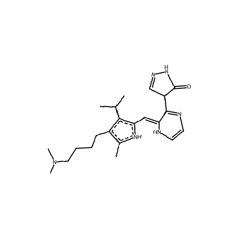 Cc1[nH]c(C=C2NC=CN=C2C2C=NNC2=O)c(C(C)C)c1CCCCN(C)C